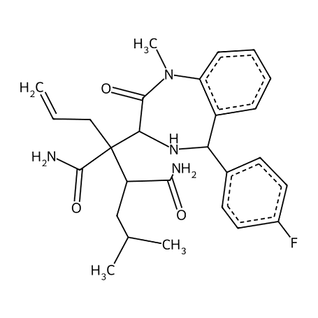 C=CCC(C(N)=O)(C(CC(C)C)C(N)=O)C1NC(c2ccc(F)cc2)c2ccccc2N(C)C1=O